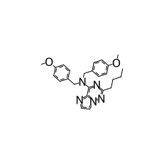 CCCCc1nc(N(Cc2ccc(OC)cc2)Cc2ccc(OC)cc2)c2nccn2n1